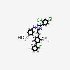 O=C(O)c1ccc(Cn2cc(-c3ccc(Cl)cc3Cl)nc2C=Cc2ccc(-c3ccccc3F)cc2C(F)(F)F)cc1